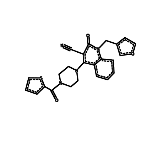 N#Cc1c(N2CCN(C(=O)c3cccs3)CC2)c2ccccc2n(Cc2ccoc2)c1=O